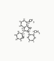 Cc1ccccc1-n1nc2c(C(F)(F)F)cccc2c1-c1ccccn1